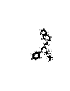 CC(C)(C)OC(=O)N[C@H](CCN1CCc2cccnc2C1)CSc1ccccc1